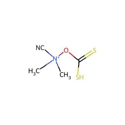 C[N+](C)(C#N)OC(=S)S